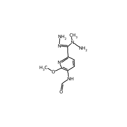 COc1nc(/C(=N/N)N(C)N)ccc1NC=O